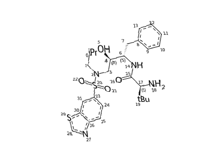 CC(C)CN(C[C@@H](O)[C@H](Cc1ccccc1)NC(=O)[C@@H](N)C(C)(C)C)S(=O)(=O)c1ccc2ncsc2c1